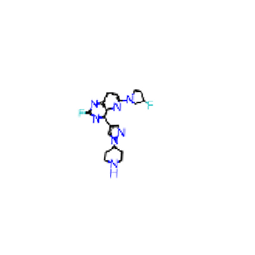 Fc1nc(-c2cnn(C3CCNCC3)c2)c2nc(N3CCC(F)C3)ccc2n1